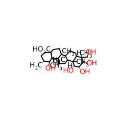 C[C@@H]1CC[C@]2(C(=O)O)CC[C@]3(C)C(=CC[C@@H]4[C@@]5(C)[C@@H](O)[C@@H](O)[C@H](O)[C@@](C)(CO)[C@@H]5CC[C@]43C)[C@@H]2[C@]1(C)O